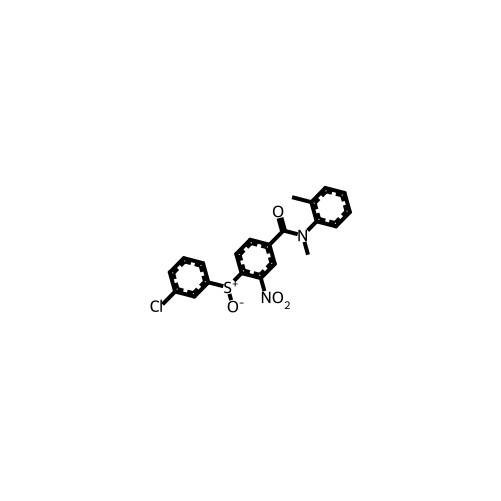 Cc1ccccc1N(C)C(=O)c1ccc([S+]([O-])c2cccc(Cl)c2)c([N+](=O)[O-])c1